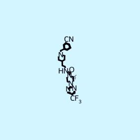 C[C@@H]1CN(c2ncc(C(F)(F)F)cn2)CCN1C(=O)NCCC1CCN(Cc2cccc(C#N)c2)CC1